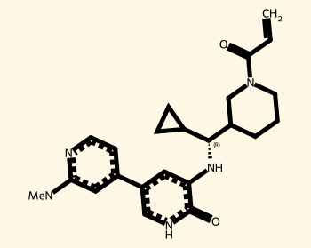 C=CC(=O)N1CCCC([C@H](Nc2cc(-c3ccnc(NC)c3)c[nH]c2=O)C2CC2)C1